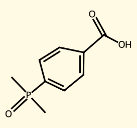 CP(C)(=O)c1ccc(C(=O)O)cc1